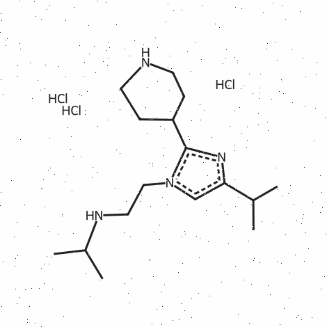 CC(C)NCCn1cc(C(C)C)nc1C1CCNCC1.Cl.Cl.Cl